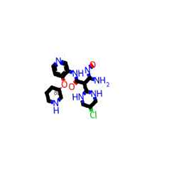 NC(N=O)C(C(=O)Nc1cnccc1O[C@H]1CCCNC1)C1NCC(Cl)CN1